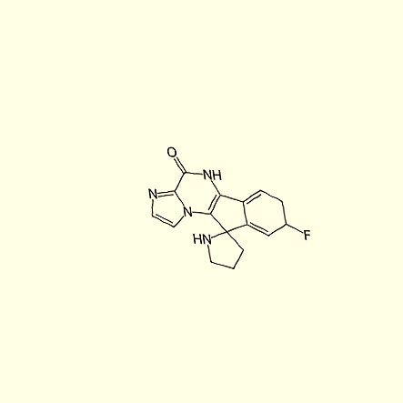 O=c1[nH]c2c(n3ccnc13)C1(CCCN1)C1=CC(F)CC=C12